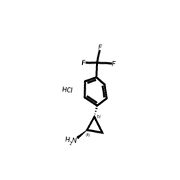 Cl.N[C@@H]1C[C@H]1c1ccc(C(F)(F)F)cc1